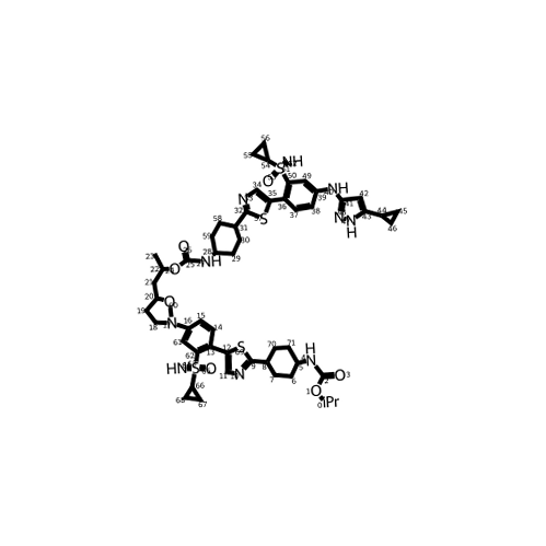 CC(C)OC(=O)NC1CCC(c2ncc(-c3ccc(N4CCC(CC(C)OC(=O)NC5CCC(c6ncc(-c7ccc(Nc8cc(C9CC9)[nH]n8)cc7S(=N)(=O)C7CC7)s6)CC5)O4)cc3S(=N)(=O)C3CC3)s2)CC1